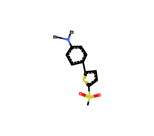 CCN(CC)c1ccc(-c2ccc(S(C)(=O)=O)s2)cc1